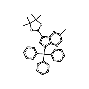 Cc1cnc2c(n1)c(B1OC(C)(C)C(C)(C)O1)cn2C(c1ccccc1)(c1ccccc1)c1ccccc1